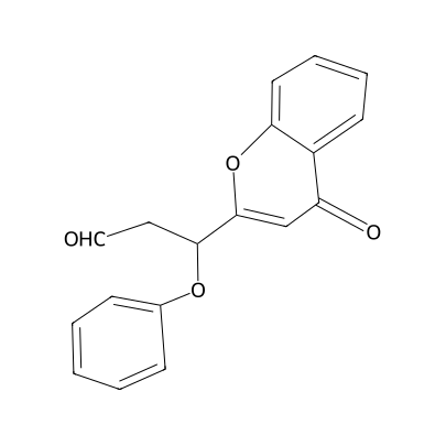 O=CCC(Oc1ccccc1)c1cc(=O)c2ccccc2o1